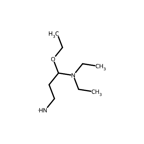 CCOC(CC[NH])N(CC)CC